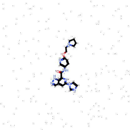 O=C(Nc1ccc(OCCN2CCCC2)nc1)c1nc(-n2ccnc2)cc2cn[nH]c12